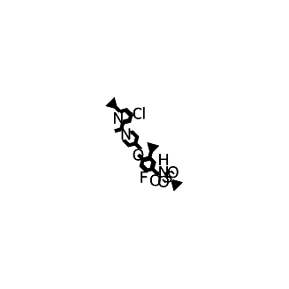 CC(c1cc(Cl)cc(C2CC2)n1)N1CCC(COc2cc(F)c(C(=O)NS(=O)(=O)C3CC3)cc2C2CC2)CC1